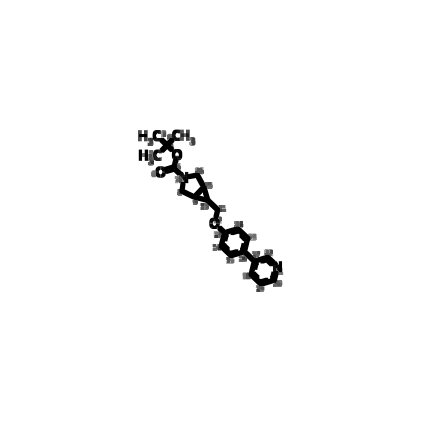 CC(C)(C)OC(=O)N1CC2C(COc3ccc(-c4cccnc4)cc3)C2C1